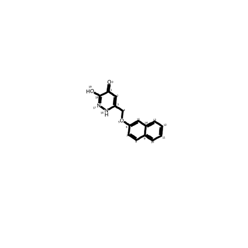 O=c1cc(COc2ccc3ccccc3c2)[nH]nc1O